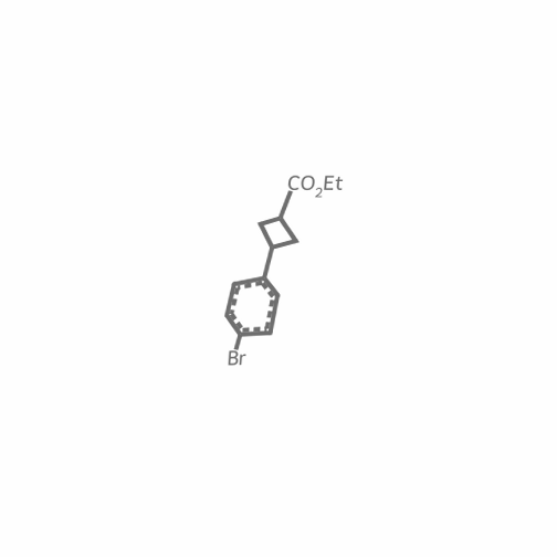 CCOC(=O)C1CC(c2ccc(Br)cc2)C1